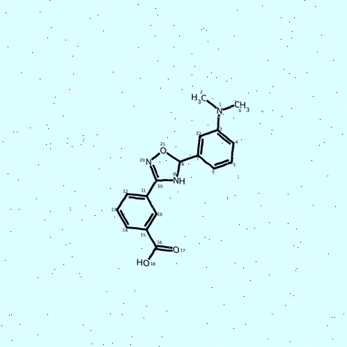 CN(C)c1cccc(C2NC(c3cccc(C(=O)O)c3)=NO2)c1